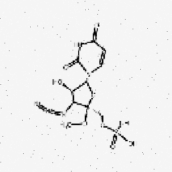 CO[C@]1(COP(=O)(O)O)O[C@@H](n2ccc(=O)[nH]c2=O)[C@H](O)C1N=[N+]=[N-]